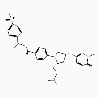 CCS(=O)(=O)c1ccc(C(C)NC(=O)c2ccc(N3C[C@@H](Oc4ccc(=O)n(C)n4)C[C@H]3COC(F)F)cc2)cc1